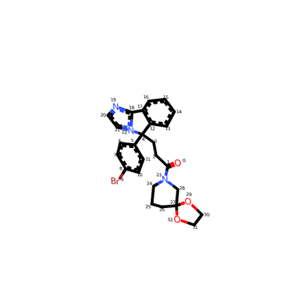 O=C(CCC1(c2ccc(Br)cc2)c2ccccc2-c2nccn21)N1CCCC2(C1)OCCO2